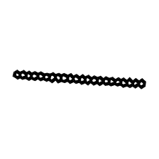 c1ccc2cc3cc4cc5cc6cc7cc8cc9cc%10cc%11cc%12cc%13cc%14cc%15cc%16cc%17cc%18cc%19cc%20cc%21cc%22ccccc%22cc%21cc%20cc%19cc%18cc%17cc%16cc%15cc%14cc%13cc%12cc%11cc%10cc9cc8cc7cc6cc5cc4cc3cc2c1